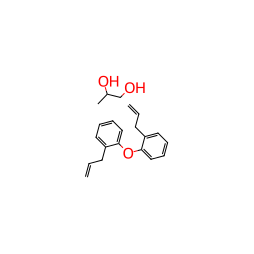 C=CCc1ccccc1Oc1ccccc1CC=C.CC(O)CO